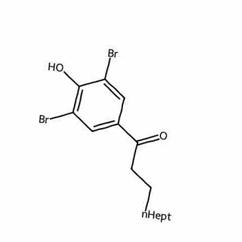 CCCCCCCCCC(=O)c1cc(Br)c(O)c(Br)c1